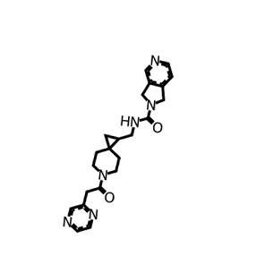 O=C(Cc1cnccn1)N1CCC2(CC1)CC2CNC(=O)N1Cc2ccncc2C1